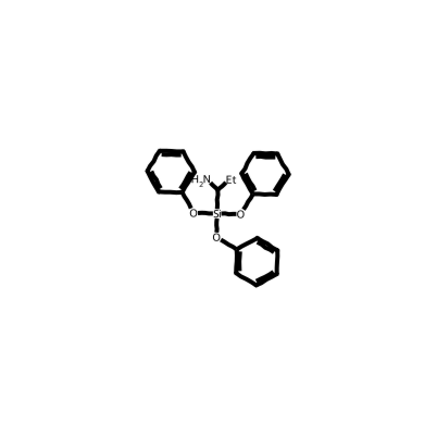 CCC(N)[Si](Oc1ccccc1)(Oc1ccccc1)Oc1ccccc1